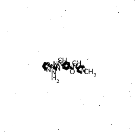 CN1CCC(N(C)C(=O)c2ccc(N(C)c3nc(N)n(-c4ccccn4)n3)cc2)CC1